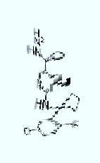 NNC(=O)c1cnc(NC2(c3cc(Cl)ccc3F)CCC2)nc1